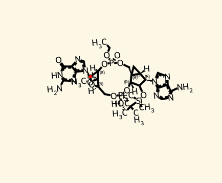 CCOP1(=O)OC[C@@]23C[C@@H]2[C@@H](n2cnc4c(N)ncnc42)C(O[Si](C)(C)C(C)(C)C)[C@@H]3OP(O)(=S)OC[C@H]2O[C@@H](n3cnc4c(=O)[nH]c(N)nc43)[C@H](O1)[C@@H]2OC